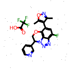 Cc1noc(C)c1-c1cc(F)c2nnn3c2c1OCC3c1cccnc1.O=C(O)C(F)(F)F